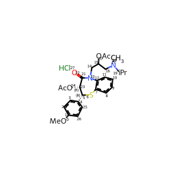 COc1ccc([C@H]2Sc3ccccc3N(CC(CN(C)C(C)C)OC(C)=O)C(=O)[C@H]2OC(C)=O)cc1.Cl